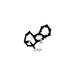 O=C(O)C12CC(=N1)C=Cc1c2[nH]c2ccccc12